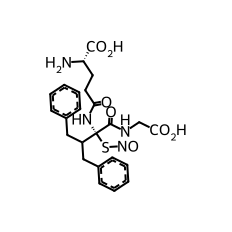 N[C@@H](CCC(=O)N[C@@](SN=O)(C(=O)NCC(=O)O)C(Cc1ccccc1)Cc1ccccc1)C(=O)O